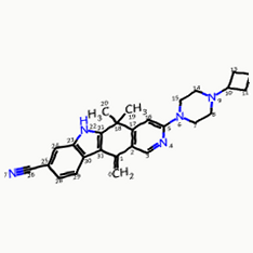 C=C1c2cnc(N3CCN(C4CCC4)CC3)cc2C(C)(C)c2[nH]c3cc(C#N)ccc3c21